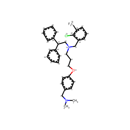 CN(C)Cc1ccc(OCCCN(Cc2cccc(C(F)(F)F)c2Cl)CC(c2ccccc2)c2ccccc2)cc1